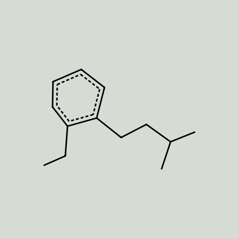 CCc1ccccc1CCC(C)C